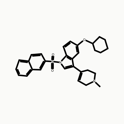 CN1CC=C(c2cn(S(=O)(=O)c3ccc4ccccc4c3)c3ccc(OC4CCCCC4)cc23)CC1